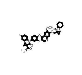 COc1cc2c(Oc3ccc(N(C(=O)C4(C(N)=O)CC4)c4ccc(F)cc4)cc3F)ccnc2cc1OCC1(NC2CCCCC2)CC1